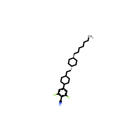 CCCCCCC[C@H]1CC[C@H](CCC2CCC(c3cc(F)c(C#N)c(F)c3)CC2)CC1